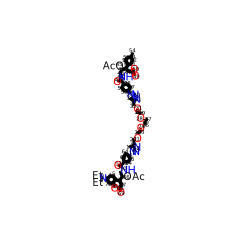 CCN(CC)c1ccc2c(C(CNC(=O)c3ccc(-n4cc(COCCOCC(C)OCCOCc5cn(-c6ccc(C(=O)NCC(OC(C)=O)c7cc(=O)oc8cc(C)ccc78)cc6)nn5)nn4)cc3)OC(C)=O)cc(=O)oc2c1